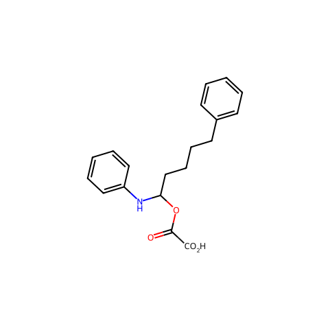 O=C(O)C(=O)OC(CCCCc1ccccc1)Nc1ccccc1